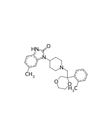 Cc1ccc2[nH]c(=O)n(C3CCN(CC4(c5ccccc5C)COCCO4)CC3)c2c1